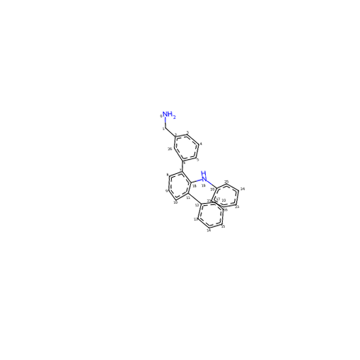 NCc1cccc(-c2cccc(-c3ccccc3)c2Nc2ccccc2)c1